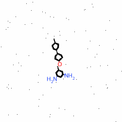 Cc1ccc(-c2ccc(OCc3cc(N)cc(N)c3)cc2)cc1